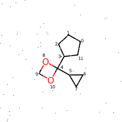 C1CC[C](C2(C3CC3)OCO2)C1